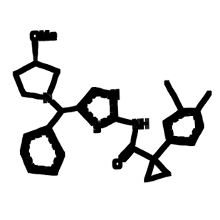 CO[C@@H]1CCN(C(c2ccccc2)c2cnc(NC(=O)C3(c4ccc(C)c(C)c4)CC3)s2)C1